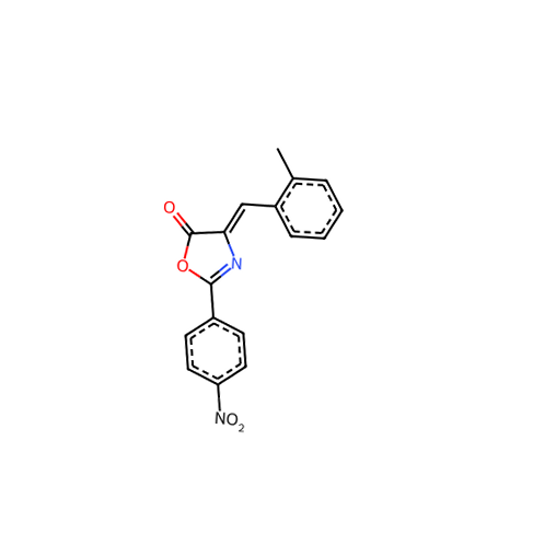 Cc1ccccc1/C=C1\N=C(c2ccc([N+](=O)[O-])cc2)OC1=O